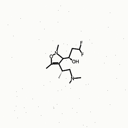 CC1=C([C@@H](C)CN(C)C)C([C@H](O)CC(F)F)N(C)O1